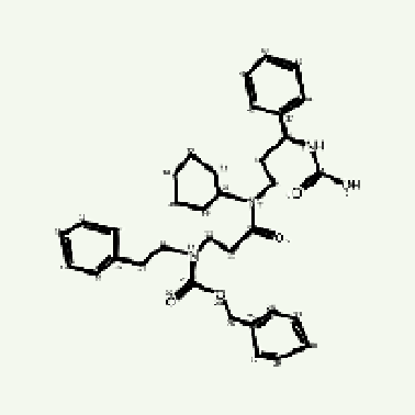 O=C(O)N[C](CCN(C(=O)CCN(CCc1ccccc1)C(=O)OCc1ccccc1)C1CCCCC1)c1ccccc1